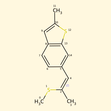 CS/C(C)=C\c1ccc2cc(C)sc2c1